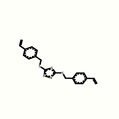 C=Cc1ccc(CSc2nnc(SCc3ccc(C=C)cc3)s2)cc1